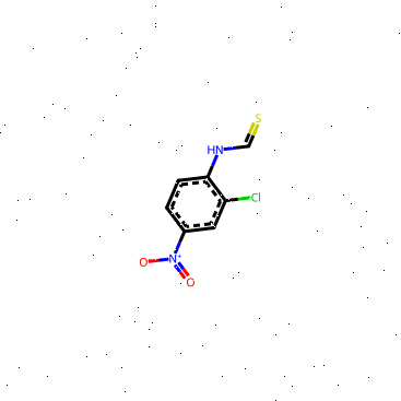 O=[N+]([O-])c1ccc(NC=S)c(Cl)c1